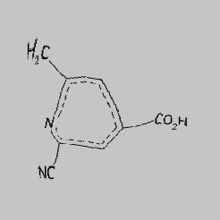 Cc1cc(C(=O)O)cc(C#N)n1